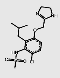 CC(C)Cc1c(OCC2=NCCN2)ccc(Cl)c1NS(C)(=O)=O